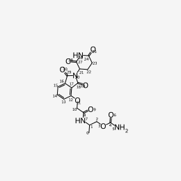 CC(COC(N)=O)NC(=O)COc1cccc2c1C(=O)N(C1CCC(=O)NC1=O)C2=O